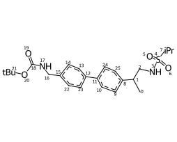 CC(CNS(=O)(=O)C(C)C)c1ccc(-c2ccc(CNC(=O)OC(C)(C)C)cc2)cc1